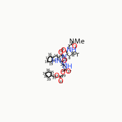 CNC(=O)CNC(=O)C(CC(C)C)NC(=O)C(Cc1ccccc1)NC(=O)CNC(=O)OCC(=O)OCc1ccccc1